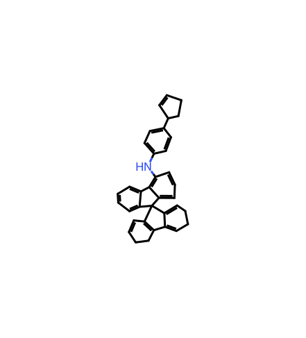 C1=CC2=C(CC1)C1=CCCC=C1C21c2ccccc2-c2c(Nc3ccc(C4C=CCC4)cc3)cccc21